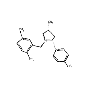 Cc1ccc(C(F)(F)F)c(CN2C[C@H](C)C[C@@H]2c2ccc(C(F)(F)F)cc2)c1